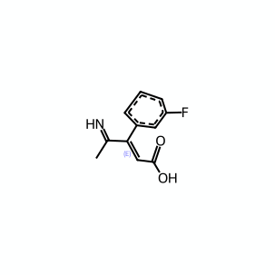 CC(=N)/C(=C/C(=O)O)c1cccc(F)c1